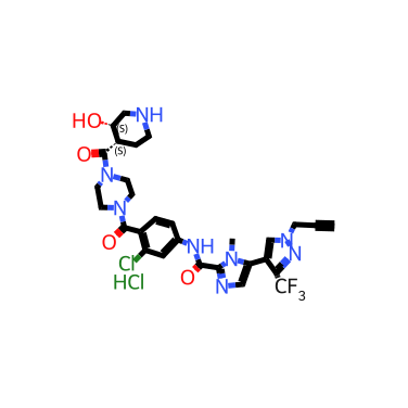 C#CCn1cc(-c2cnc(C(=O)Nc3ccc(C(=O)N4CCN(C(=O)[C@H]5CCNC[C@H]5O)CC4)c(Cl)c3)n2C)c(C(F)(F)F)n1.Cl